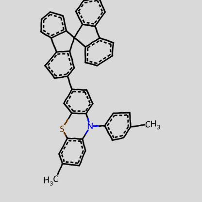 Cc1ccc(N2c3ccc(C)cc3Sc3cc(-c4ccc5c(c4)C4(c6ccccc6-c6ccccc64)c4ccccc4-5)ccc32)cc1